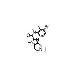 Cc1c(Br)cccc1N(C)C(=O)c1nc2c(n1C)CCNC2